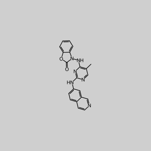 Cc1cnc(Nc2ccc3ccncc3c2)nc1Nn1c(=O)oc2ccccc21